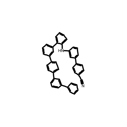 N#Cc1ccc(-c2cccc(Nc3ccccc3-c3cccc(-c4ccc(-c5cccc(-c6ccccc6)c5)cc4)c3)c2)cc1